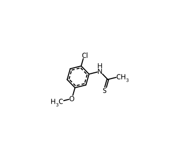 COc1ccc(Cl)c(NC(C)=S)c1